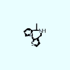 CC1NCc2ccsc2-n2cccc21